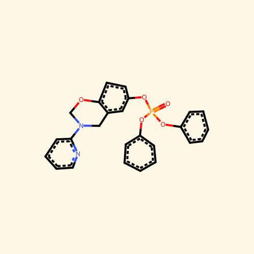 O=P(Oc1ccccc1)(Oc1ccccc1)Oc1ccc2c(c1)CN(c1ccccn1)CO2